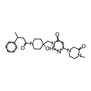 CC(CC(=O)N1CCC(O)(Cn2cnc(N3CCN(C)C(=O)C3)cc2=O)CC1)c1ccccc1